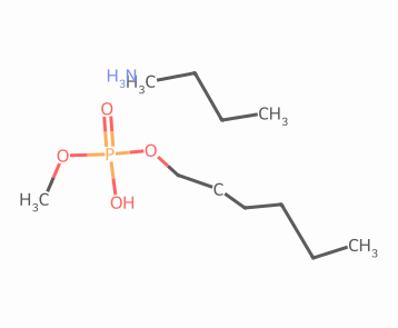 CCCC.CCCCCCOP(=O)(O)OC.N